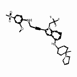 COc1cc(S(C)(=O)=O)ccc1NCC#Cc1cc2c(NC3CCC(C)(N4CCCC4)CC3)cccc2n1CC(F)(F)F